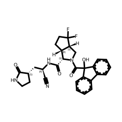 N#C[C@@H](C[C@@H]1CCNC1=O)NC(=O)[C@@H]1[C@@H]2CCC(F)(F)[C@@H]2CN1C(=O)C1(O)c2ccccc2-c2ccccc21